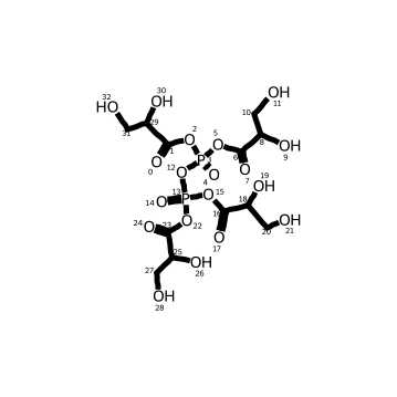 O=C(OP(=O)(OC(=O)C(O)CO)OP(=O)(OC(=O)C(O)CO)OC(=O)C(O)CO)C(O)CO